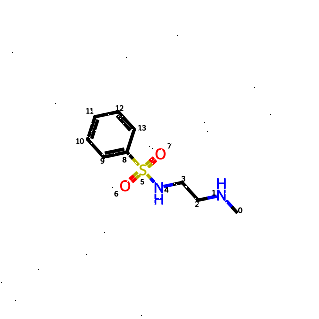 CNCCNS(=O)(=O)c1ccccc1